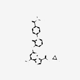 CNc1cc(Nc2cccn(-c3ccc(C(=O)N(C)C)cc3)c2=O)nn2c(C(=O)N[C@@H]3C[C@@H]3F)cnc12